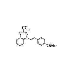 COc1ccc(C=Cc2nc(C(Cl)(Cl)Cl)nc3ccccc23)cc1